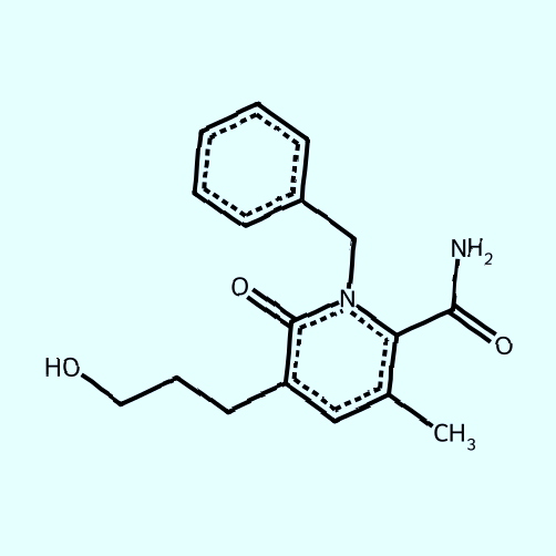 Cc1cc(CCCO)c(=O)n(Cc2ccccc2)c1C(N)=O